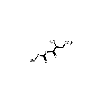 CC(C)(C)OC(=O)OC(=O)[C@@H](N)CC(=O)O